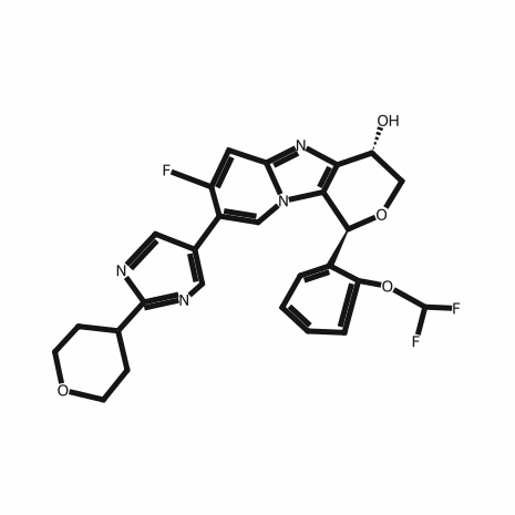 O[C@@H]1CO[C@@H](c2ccccc2OC(F)F)c2c1nc1cc(F)c(-c3cnc(C4CCOCC4)nc3)cn21